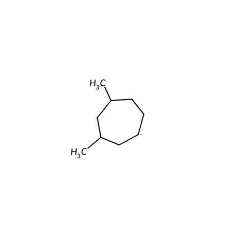 CC1C[CH]CCC(C)C1